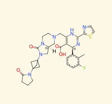 Cc1c(F)cccc1[C@@H]1N=C(c2nccs2)NC(CN2CCN3C(=O)N(C45CC(N6CCCC6=O)(C4)C5)C[C@@H]3C2)=C1C(=O)O